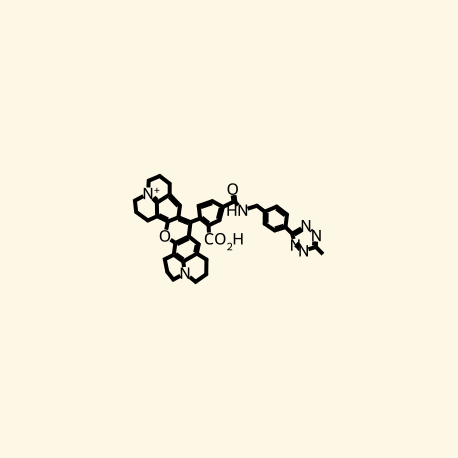 Cc1nnc(-c2ccc(CNC(=O)c3ccc(C4=c5cc6c7c(c5Oc5c4cc4c8c5CCCN8CCC4)CCC[N+]=7CCC6)c(C(=O)O)c3)cc2)nn1